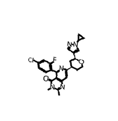 Cc1nc2cc([C@@H]3CCO[C@H](c4cnn(C5CC5)c4)C3)nc(-c3ccc(Cl)cc3F)c2c(=O)n1C